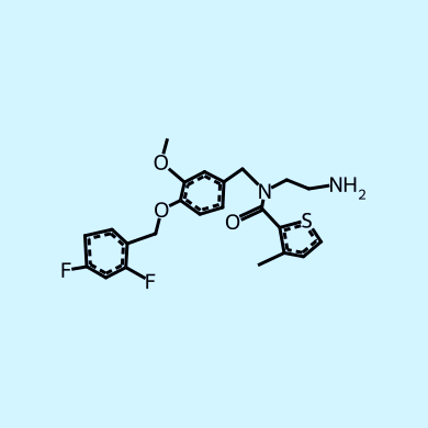 COc1cc(CN(CCN)C(=O)c2sccc2C)ccc1OCc1ccc(F)cc1F